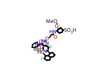 C#Cc1c(F)ccc2cccc(-c3ncc4c(N5CC6CCC(C5)N6C(=O)OC(C)(C)C)nc(OCCC(=O)Nc5ccc(S(=O)(=O)O)cc5OCOC)nc4c3F)c12